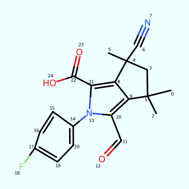 CC1(C)CC(C)(C#N)c2c1c(C=O)n(-c1ccc(F)cc1)c2C(=O)O